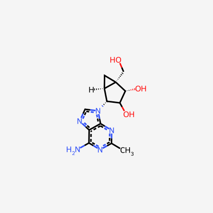 Cc1nc(N)c2ncn([C@H]3C(O)[C@@H](O)[C@]4(CO)C[C@H]34)c2n1